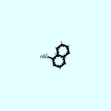 C[CH]CCc1cccc2ccccc12